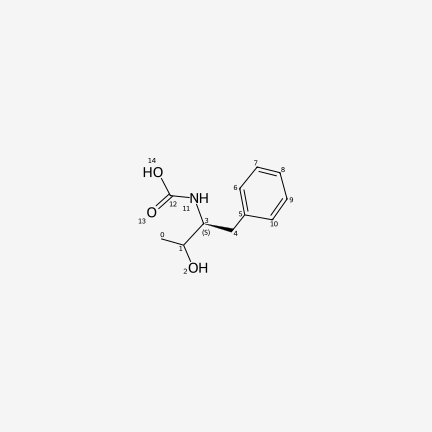 CC(O)[C@H](Cc1ccccc1)NC(=O)O